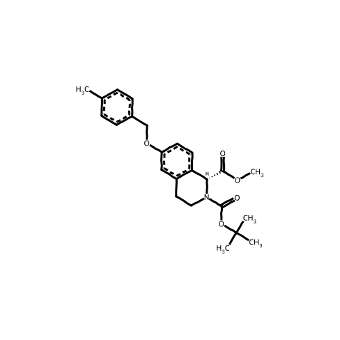 COC(=O)[C@H]1c2ccc(OCc3ccc(C)cc3)cc2CCN1C(=O)OC(C)(C)C